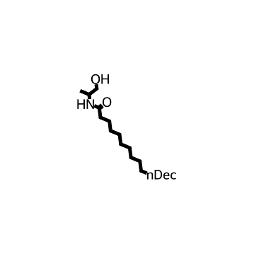 CCCCCCCCCCCCCCCCCCCC(=O)NC(C)CO